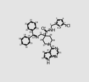 O=C(NCc1ccc(Cl)s1)C1(CN=C(c2ccccc2)c2ccccc2)CCN(c2ncnc3[nH]ccc23)CC1